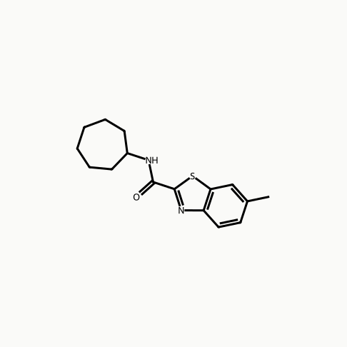 Cc1ccc2nc(C(=O)NC3CCCCCC3)sc2c1